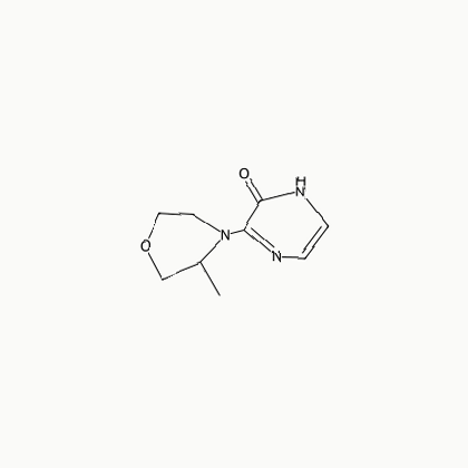 CC1COCCN1c1ncc[nH]c1=O